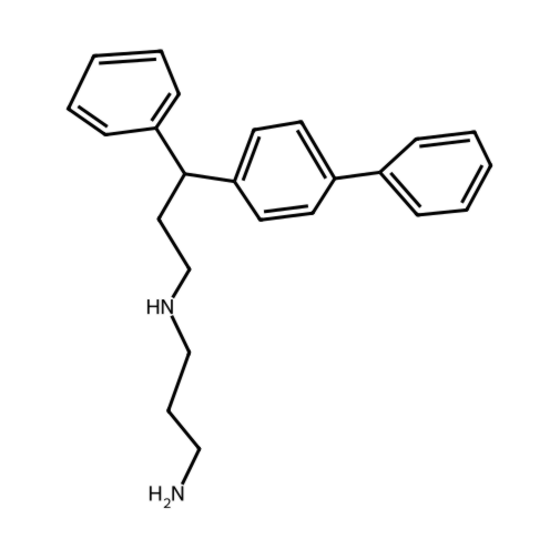 NCCCNCCC(c1ccccc1)c1ccc(-c2ccccc2)cc1